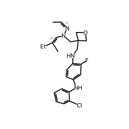 C/C=N\N(/C=C(\C)CC)CC1(CNc2ccc(Nc3ccccc3Cl)cc2F)COC1